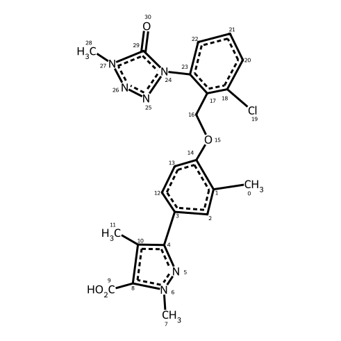 Cc1cc(-c2nn(C)c(C(=O)O)c2C)ccc1OCc1c(Cl)cccc1-n1nnn(C)c1=O